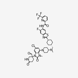 CN(C[C@H]1CC[C@H](c2nc3cc(F)c(NC(=O)c4cccc(C(F)(F)F)n4)cc3s2)CC1)C1CCN(c2cc(Cl)cc3c2n(C)c(=O)n3C2(C=O)CCC(=O)NC2)CC1